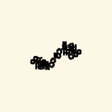 COC(=O)N[C@H](C(=O)N1CCC[C@H]1c1nc2ccc3cc(-c4ccc5cc(-c6cnc([C@@H]7CCCN7C(=O)[C@H](NC(=O)OC)c7ccccc7)[nH]6)ccc5n4)ccc3c2[nH]1)C(C)C